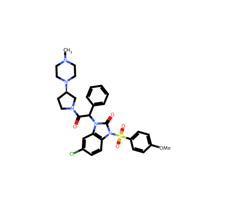 COc1ccc(S(=O)(=O)n2c(=O)n(C(C(=O)N3CC[C@@H](N4CCN(C)CC4)C3)c3ccccc3)c3cc(Cl)ccc32)cc1